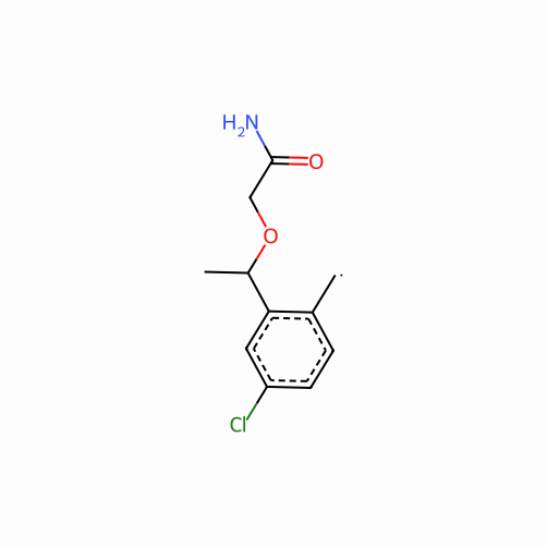 [CH2]c1ccc(Cl)cc1C(C)OCC(N)=O